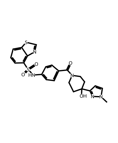 Cn1ccc(C2(O)CCN(C(=O)c3ccc(NS(=O)(=O)c4cccc5scnc45)cc3)CC2)n1